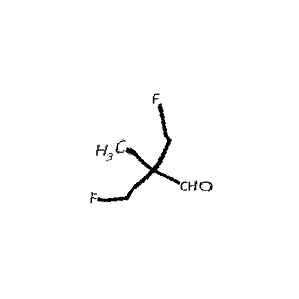 CC(C=O)(CF)CF